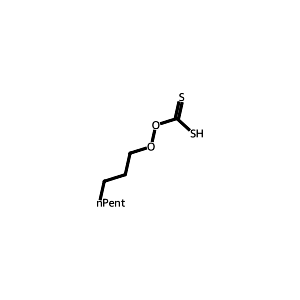 CCCCCCCCOOC(=S)S